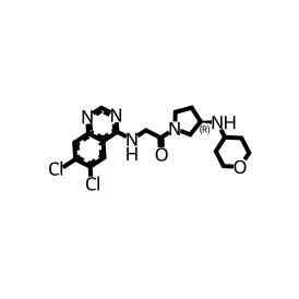 O=C(CNc1ncnc2cc(Cl)c(Cl)cc12)N1CC[C@@H](NC2CCOCC2)C1